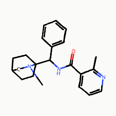 Cc1ncccc1C(=O)NC(c1ccccc1)C12CCC(CC1)CN2C